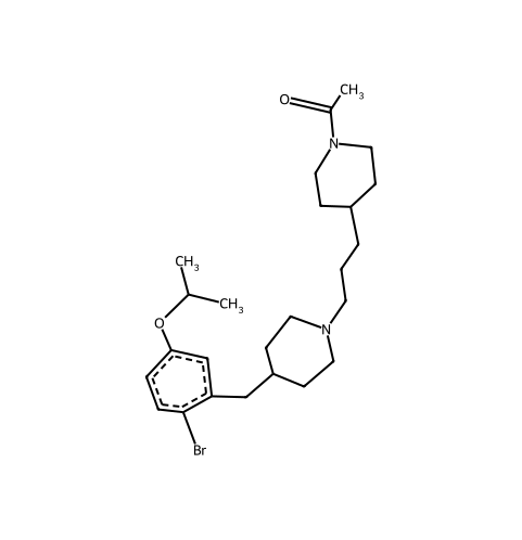 CC(=O)N1CCC(CCCN2CCC(Cc3cc(OC(C)C)ccc3Br)CC2)CC1